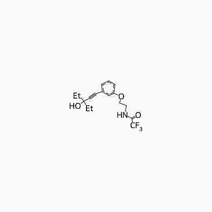 CCC(O)(C#Cc1cccc(OCCNC(=O)C(F)(F)F)c1)CC